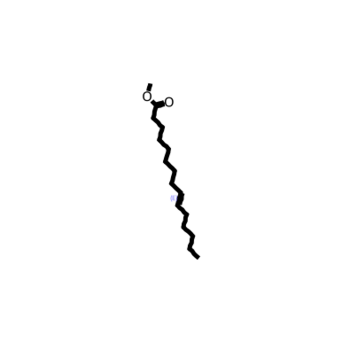 CCCCC/C=C/CCCCCCCC(=O)OC